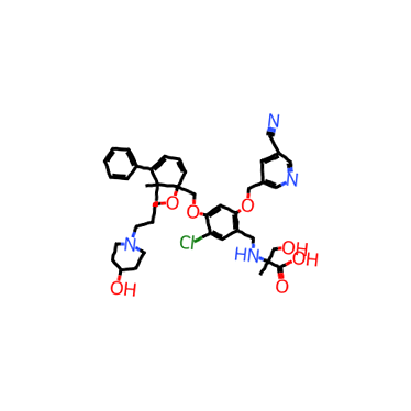 CC(CO)(NCc1cc(Cl)c(OCC2(OCCCN3CCC(O)CC3)C=CC=C(c3ccccc3)C2(C)C)cc1OCc1cncc(C#N)c1)C(=O)O